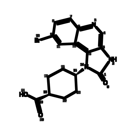 O=c1[nH]c2cnc3ccc(Br)cc3c2n1[C@H]1CC[C@H](C(=O)O)CC1